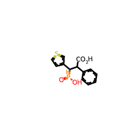 O=C(O)C(c1ccccc1)C(c1ccsc1)[PH](=O)O